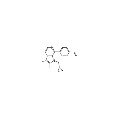 C=Cc1ccc(-c2nccc3c(C)c(C)n(CC4CC4)c23)cc1